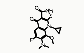 COc1c(N(C)C)c(F)cc2c(=O)c3c(=O)[nH]sc3n(C3CC3)c12